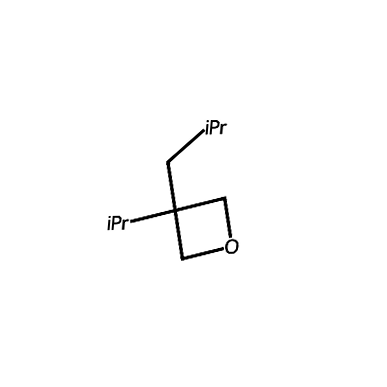 CC(C)CC1(C(C)C)COC1